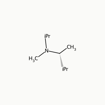 CC(C)[C@@H](C)N(C)C(C)C